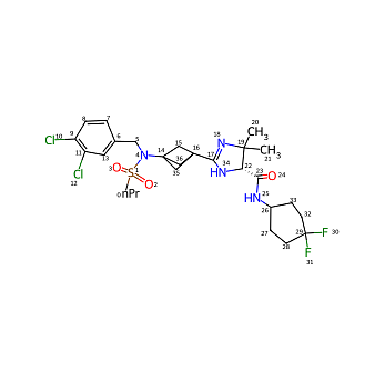 CCCS(=O)(=O)N(Cc1ccc(Cl)c(Cl)c1)C12CC(C3=NC(C)(C)[C@H](C(=O)NC4CCC(F)(F)CC4)N3)(C1)C2